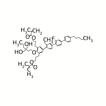 C=C(C)C(=O)OCCCc1cc(-c2ccc(-c3ccc(-c4ccc(CCCCC)cc4)cc3F)cc2CC)cc(CCCOC(=O)C(=C)C)c1OCCC(CO)(CO)CCC